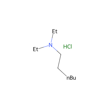 CCCCCCN(CC)CC.Cl